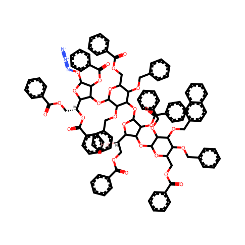 B[C@H](COC(=O)c1ccccc1)C1OC(OC2C(OCc3ccccc3)C(COC(=O)c3ccccc3)OC(OC3C(OC(=O)c4ccccc4)C(ON=[N+]=[N-])OC3[C@@H](COC(=O)c3ccccc3)OC(=O)c3ccccc3)C2OCc2ccccc2)C(OC(=O)c2ccccc2)C1OC1OC(COC(=O)c2ccccc2)C(OCc2ccccc2)C(OCc2ccc3ccccc3c2)C1OCc1ccccc1